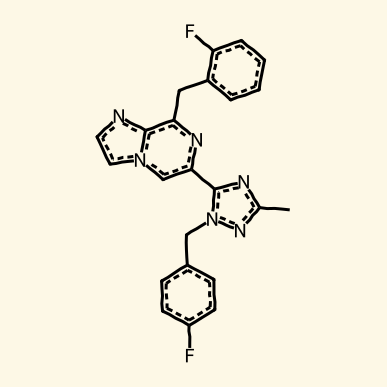 Cc1nc(-c2cn3ccnc3c(Cc3ccccc3F)n2)n(Cc2ccc(F)cc2)n1